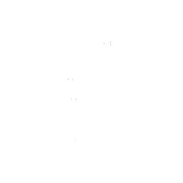 O=c1oc2cc(O)ccc2cc1-c1ccc(O)cc1